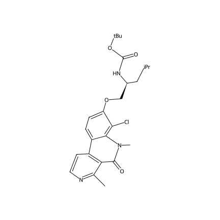 Cc1nccc2c1c(=O)n(C)c1c(Cl)c(OC[C@H](CC(C)C)NC(=O)OC(C)(C)C)ccc21